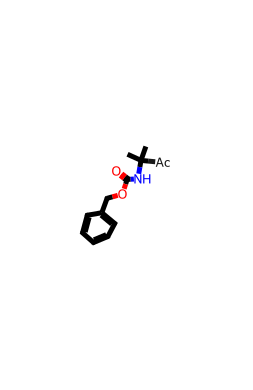 CC(=O)C(C)(C)NC(=O)OCc1ccccc1